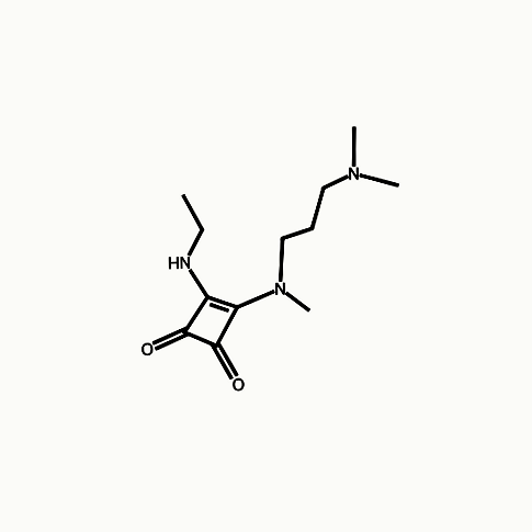 CCNc1c(N(C)CCCN(C)C)c(=O)c1=O